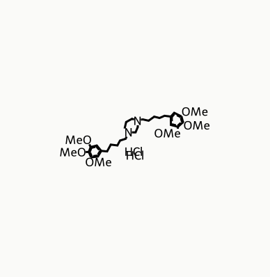 COc1cc(CCCCCN2CCCN(CCCCCc3cc(OC)c(OC)c(OC)c3)CC2)cc(OC)c1OC.Cl.Cl